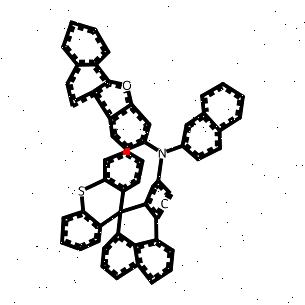 c1ccc2c(c1)Sc1ccccc1C21c2cc(N(c3ccc4ccccc4c3)c3ccc4c(c3)oc3c5ccccc5ccc43)ccc2-c2cccc3cccc1c23